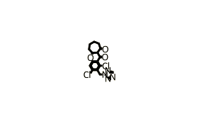 O=C1CCCCC(=O)C1C(=O)c1ccc(Cl)c(Cn2ncnn2)c1Cl